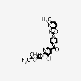 Cc1ccc2oc(N3CCN(C(=O)c4cnc(N5CC(OC(C)C(F)(F)F)C5)c(Cl)c4)CC3)nc2n1